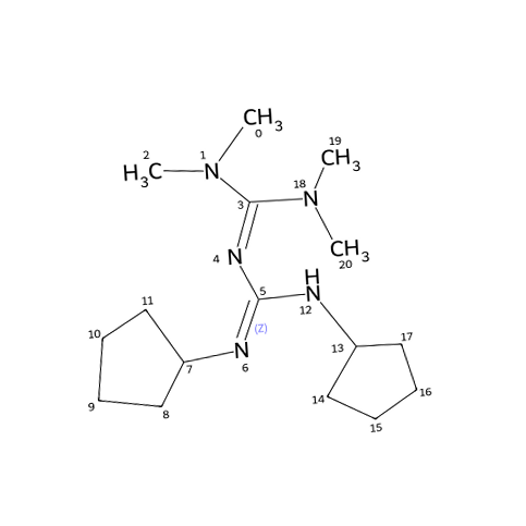 CN(C)C(=N/C(=N\C1CCCC1)NC1CCCC1)N(C)C